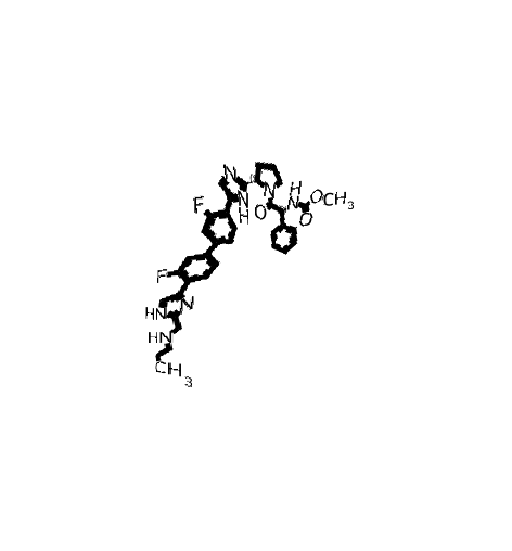 CCCNCc1nc(-c2ccc(-c3ccc(-c4cnc([C@@H]5CCCN5C(=O)[C@H](NC(=O)OC)c5ccccc5)[nH]4)c(F)c3)cc2F)c[nH]1